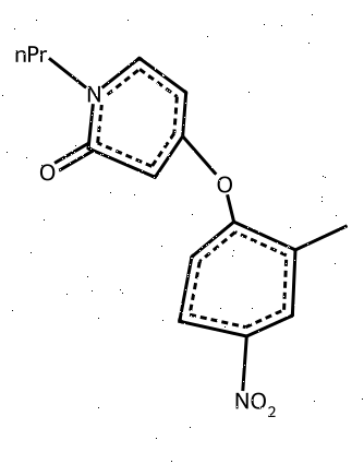 CCCn1ccc(Oc2ccc([N+](=O)[O-])cc2C)cc1=O